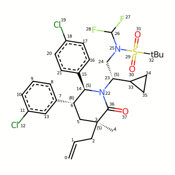 C=CC[C@@]1(C)C[C@H](c2cccc(Cl)c2)[C@@H](c2ccc(Cl)cc2)N([C@H](CN(C(F)F)S(=O)(=O)C(C)(C)C)C2CC2)C1=O